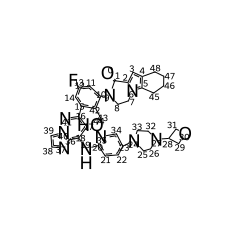 O=C1c2cc3c(n2CCN1c1cc(F)cc(-c2cc(Nc4ccc(N5CCN(C6COC6)CC5)cn4)c4nccn4n2)c1CO)CCCC3